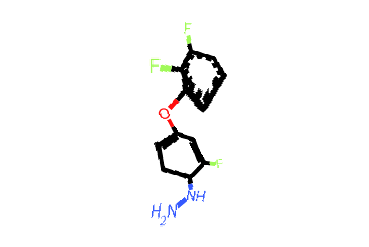 NNC1CC=C(Oc2cccc(F)c2F)C=C1F